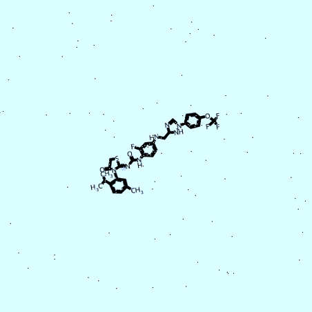 Cc1ccc(C(C)C)c(N2C(=O)CS/C2=N\C(=O)Nc2ccc(NCC3N=CN(c4ccc(OC(F)(F)F)cc4)N3)cc2F)c1